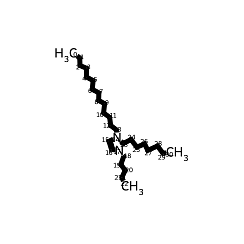 CCCCCCCCCCCCCCN1C=CN(CCCCC)C1CCCCCCC